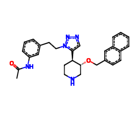 CC(=O)Nc1cccc(CCn2nncc2[C@@H]2CCNC[C@H]2OCc2ccc3ccccc3c2)c1